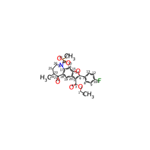 CCOC(=O)c1c(-c2ccc(F)cc2)oc2cc3c(cc12)C(=O)C(C)CCN3S(C)(=O)=O